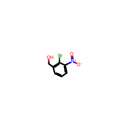 O=[N+]([O-])c1cccc([CH]O)c1Br